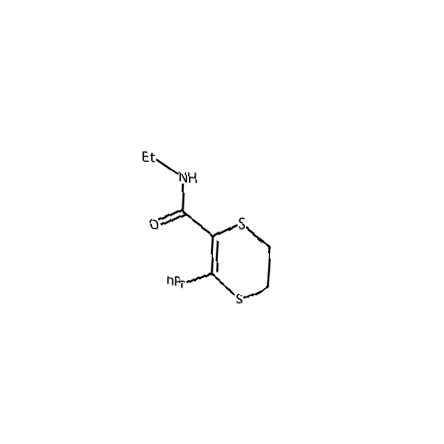 CCCC1=C(C(=O)NCC)SCCS1